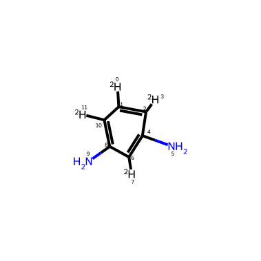 [2H]c1c([2H])c(N)c([2H])c(N)c1[2H]